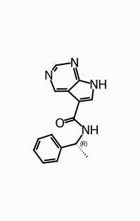 C[C@@H](NC(=O)c1c[nH]c2ncncc12)c1ccccc1